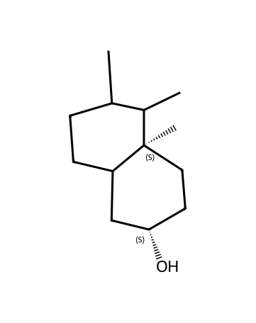 CC1CCC2C[C@@H](O)CC[C@]2(C)C1C